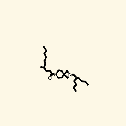 CCCCCCC(C)CCC(=O)N1CCC2(CC1)CN(CC(CCCC)CCCC)C2